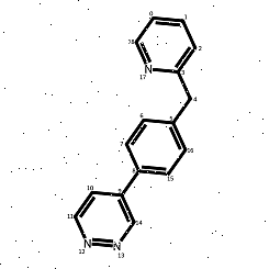 [c]1ccc(Cc2ccc(-c3ccnnc3)cc2)nc1